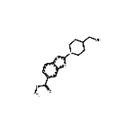 COC(=O)c1ccc2sc(N3CCC(CO)CC3)nc2c1